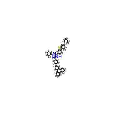 c1ccc(C2=NC(c3ccc(-c4ccc5c6ccccc6c6ccccc6c5c4)cc3)NC(c3ccc4c(c3)sc3cc(-c5ccccc5)ccc34)=N2)cc1